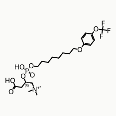 C[N+](C)(C)C[C@@H](CC(=O)O)OP(=O)(O)OCCCCCCCCOc1ccc(OC(F)(F)F)cc1